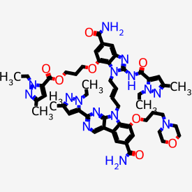 CCn1nc(C)cc1C(=O)Nc1nc2cc(C(N)=O)cc(OCCCOC(=O)c3cc(C)nn3CC)c2n1C/C=C/Cn1c2nc(-c3cc(C)nn3CC)ncc2c2cc(C(N)=O)cc(OCCCN3CCOCC3)c21